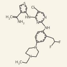 C=C(N)c1cscc1Nc1nc(Nc2ccc(N3CCN(CC)CC3)cc2CC(F)F)ncc1Cl